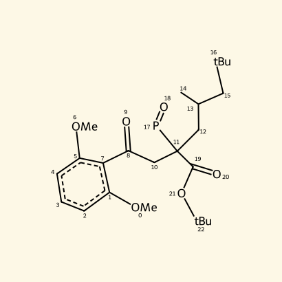 COc1cccc(OC)c1C(=O)CC(CC(C)CC(C)(C)C)(P=O)C(=O)OC(C)(C)C